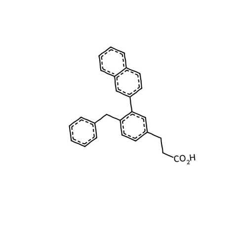 O=C(O)CCc1ccc(Cc2ccccc2)c(-c2ccc3ccccc3c2)c1